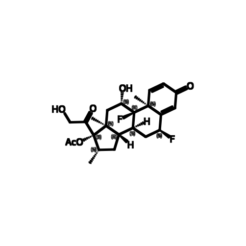 CC(=O)O[C@@]1(C(=O)CO)[C@@H](C)C[C@H]2[C@@H]3C[C@H](F)C4=CC(=O)C=C[C@]4(C)[C@@]3(F)[C@@H](O)C[C@@]21C